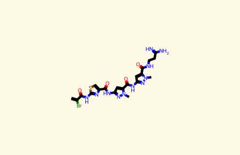 C=C(Br)C(=O)Nc1nc(C(=O)Nc2cc(C(=O)Nc3cc(C(=O)NCCC(=N)N)n(C)n3)n(C)n2)cs1